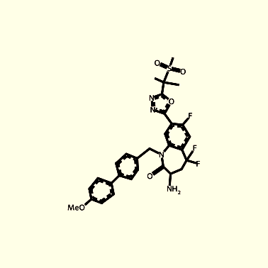 COc1ccc(-c2ccc(CN3C(=O)C(N)CC(F)(F)c4cc(F)c(-c5nnc(C(C)(C)S(C)(=O)=O)o5)cc43)cc2)cc1